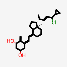 C=C1/C(=C\C=C2/CCC[C@@]3(C)C2CC[C@@H]3C(C)/C=C/C(Cl)C2CC2)C[C@@H](O)C[C@@H]1O